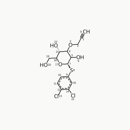 C#CCOC1C(O)[C@@H](Sc2ccc(Cl)c(Cl)c2)OC(CO)[C@@H]1O